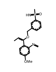 C=Nc1cc(OC)ccc1/C(=C\C)OCc1cccc(S(C)(=N)=O)c1